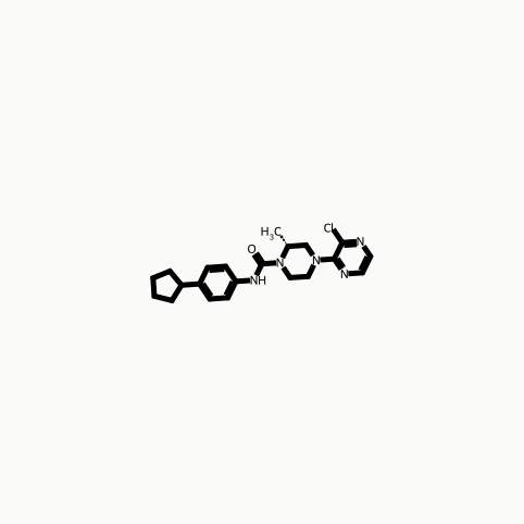 C[C@@H]1CN(c2nccnc2Cl)CCN1C(=O)Nc1ccc(C2CCCC2)cc1